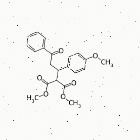 COC(=O)C(C(=O)OC)C(CC(=O)c1ccccc1)c1ccc(OC)cc1